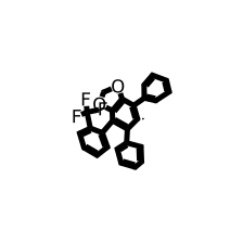 FC(F)(F)c1ccccc1-c1c(-c2ccccc2)[c]c(-c2ccccc2)c2c1OCO2